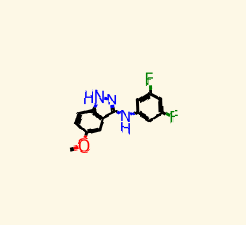 COc1ccc2[nH]nc(Nc3cc(F)cc(F)c3)c2c1